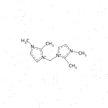 Cc1n(C)cc[n+]1C[n+]1ccn(C)c1C